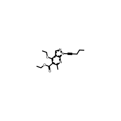 CCCC#Cn1ncc2c(OCC)c(C(=O)OCC)c(C)nc21